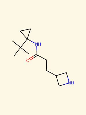 CC(C)(C)C1(NC(=O)CCC2CNC2)CC1